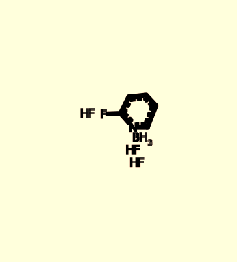 B.F.F.F.Fc1ccccn1